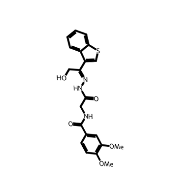 COc1ccc(C(=O)NCC(=O)N/N=C(\CO)c2csc3ccccc23)cc1OC